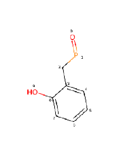 O=PCc1ccccc1O